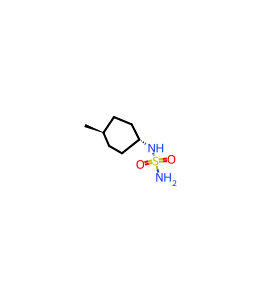 C[C@H]1CC[C@H](NS(N)(=O)=O)CC1